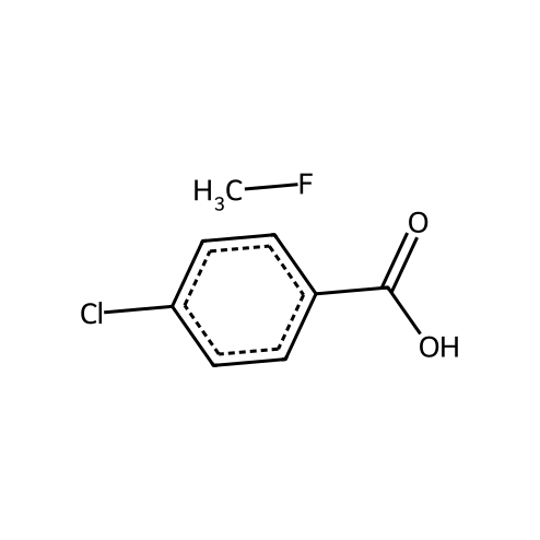 CF.O=C(O)c1ccc(Cl)cc1